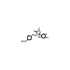 COc1ccc(CCN2C(=O)NCC2(N)c2ccc(C)c(C)c2)cc1